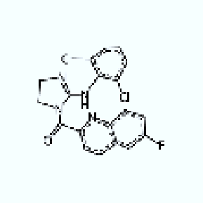 O=C(c1ccc2cc(F)ccc2n1)N1CCN=C1Nc1c(Cl)cccc1Cl